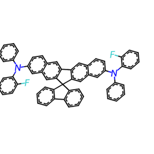 Fc1ccccc1N(c1ccccc1)c1ccc2cc3c(cc2c1)C1(c2ccccc2-c2ccccc21)c1cc2cc(N(c4ccccc4)c4ccccc4F)ccc2cc1-3